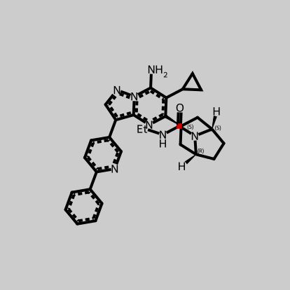 CCNC(=O)N1[C@@H]2CC[C@H]1C[C@H](c1nc3c(-c4ccc(-c5ccccc5)nc4)cnn3c(N)c1C1CC1)C2